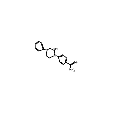 Cl.N=C(N)c1ccc(N2CCN(c3ccccc3)CC2)nc1